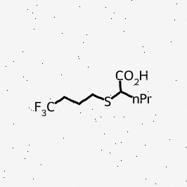 CCCC(SCCCC(F)(F)F)C(=O)O